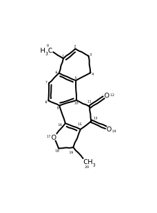 CC1=CCCc2c1ccc1c2C(=O)C(=O)C2=C1OCC2C